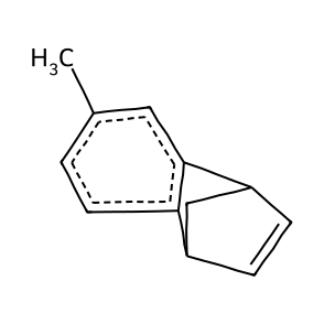 Cc1ccc2c(c1)C1C=CC2C1